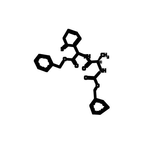 C[C@H](NC(=O)OCc1ccccc1)C(=O)NC(C(=O)OCc1ccccc1)C1=CC=CCC1=S